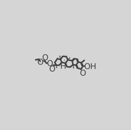 CCOC(=O)COC(=O)[C@]1(C)CC[C@]2(C)CC[C@]3(C)C4=CC=C5C(=CC(=O)C(O)=C5C)[C@]4(C)CC[C@@]3(C)[C@@H]2C1